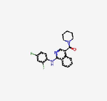 O=C(c1cnc(Nc2ccc(F)cc2F)c2ccccc12)N1CCCCC1